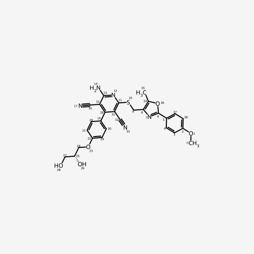 COc1ccc(-c2nc(CSc3nc(N)c(C#N)c(-c4ccc(OC[C@H](O)CO)cc4)c3C#N)c(C)o2)cc1